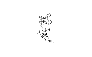 COC(=O)N[C@H](C(=O)NC(C)(C)CCC[C@@H](CO)N(CC(C)C)S(=O)(=O)c1ccc(N)cc1)C(c1ccccc1)c1ccccc1